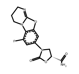 NC(=O)[C@H]1CN(c2cc(F)c3c(c2)OC2=NCCCN23)C(=O)O1